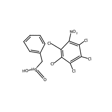 O=[N+]([O-])c1c(Cl)c(Cl)c(Cl)c(Cl)c1Cl.[O]=[Hg]([OH])[CH2]c1ccccc1